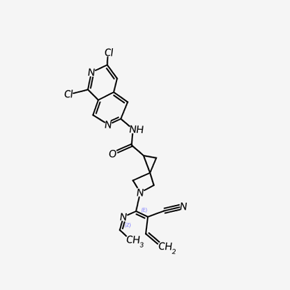 C=C/C(C#N)=C(\N=C/C)N1CC2(CC2C(=O)Nc2cc3cc(Cl)nc(Cl)c3cn2)C1